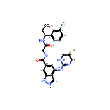 O=C(O)C[C@H](NC(=O)CNC(=O)c1cc(NC2=NCC(F)CN2)c2cn[nH]c2c1)c1cccc(Cl)c1